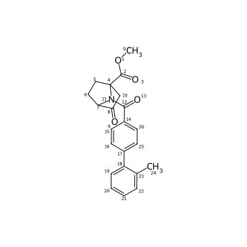 COC(=O)C12CCC(C(=O)C1)N2C(=O)c1ccc(-c2ccccc2C)cc1